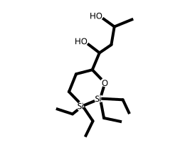 CC[Si]1(CC)CCC(C(O)CC(C)O)O[Si]1(CC)CC